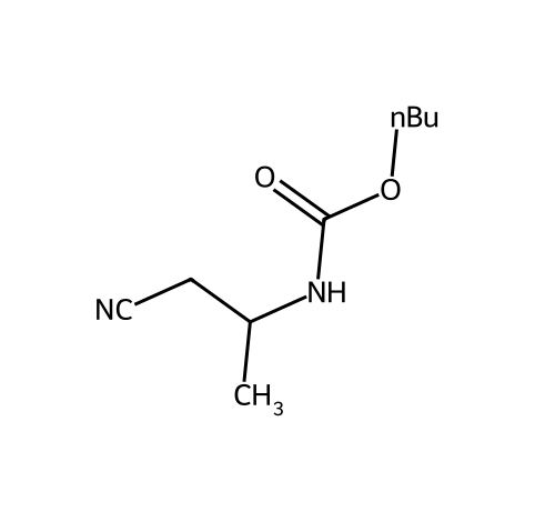 CCCCOC(=O)NC(C)CC#N